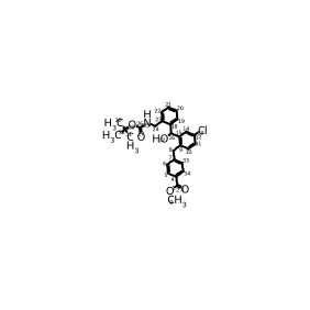 COC(=O)c1ccc(Cc2ccc(Cl)cc2C(O)c2ccccc2CNC(=O)OC(C)(C)C)cc1